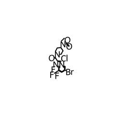 O=C(c1nc2c(C(F)(F)F)cc(Br)cn2c1Cl)N1CCC(N2CCOC2=O)CC1